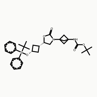 CC(C)(C)OC(=O)NC12CC(N3CC([C@H]4C[C@@H](O[Si](c5ccccc5)(c5ccccc5)C(C)(C)C)C4)OC3=O)(C1)C2